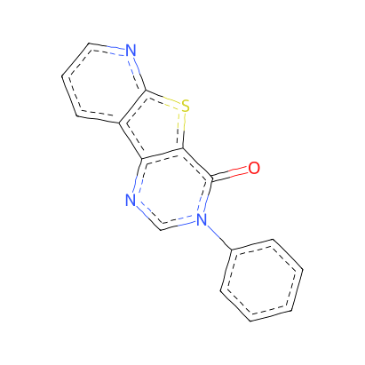 O=c1c2sc3ncccc3c2ncn1-c1ccccc1